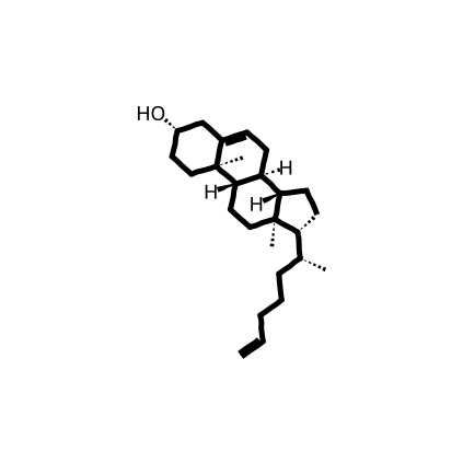 C=CCCC[C@@H](C)[C@H]1CC[C@H]2[C@@H]3CC=C4C[C@@H](O)CC[C@]4(C)[C@H]3CC[C@]12C